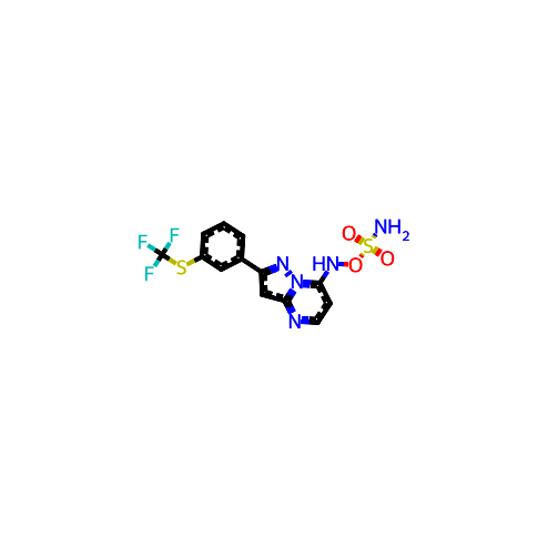 NS(=O)(=O)ONc1ccnc2cc(-c3cccc(SC(F)(F)F)c3)nn12